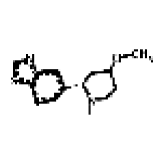 COC1CCN[C@H](c2ccc3scnc3c2)C1